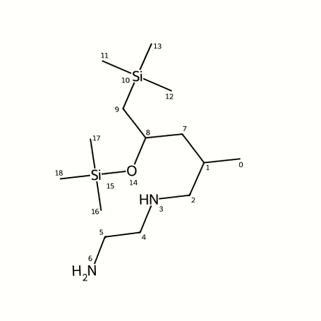 CC(CNCCN)CC(C[Si](C)(C)C)O[Si](C)(C)C